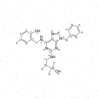 Cc1ccc(O)c(CNc2nc(NCC(C)C(C)(C)O)nc3c2ncn3Cc2ccccc2)c1